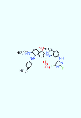 O=S(=O)(O)CNc1ccc2c(O)c(/N=N/c3cc(Nc4cc(F)nc(F)n4)ccc3S(=O)(=O)O)c(SOOO)cc2c1/N=N/c1ccc(S(=O)(=O)O)cc1